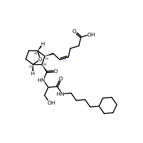 O=C(O)CC/C=C\C[C@H]1[C@@H](C(=O)NC(CO)C(=O)NCCCCC2CCCCC2)[C@@H]2CC[C@H]1O2